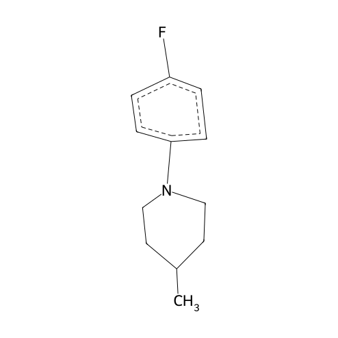 CC1CCN(c2ccc(F)cc2)CC1